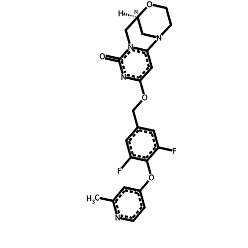 Cc1cc(Oc2c(F)cc(COc3cc4n(c(=O)n3)C[C@@H]3CN4CCO3)cc2F)ccn1